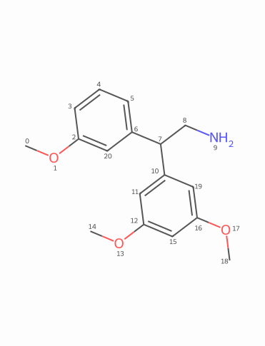 COc1cccc(C(CN)c2cc(OC)cc(OC)c2)c1